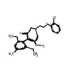 CCc1cc(C)cc(CC)c1C1=C(OC)CC(CCSc2ccccc2Cl)CC1=O